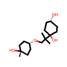 CC(C)(CO[C@H]1CC[C@@](C)(O)CC1)[C@]1(O)CC[C@H](O)CC1